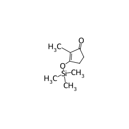 CC1=C(O[Si](C)(C)C)CCC1=O